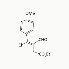 CCOC(=O)C/C(C=O)=C(\Cl)c1ccc(OC)cc1